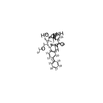 CCOCCC(C)(C[C@@H](Cc1ccc(-c2ccccc2)cc1)NC(=O)c1c[nH]nn1)C(=O)O